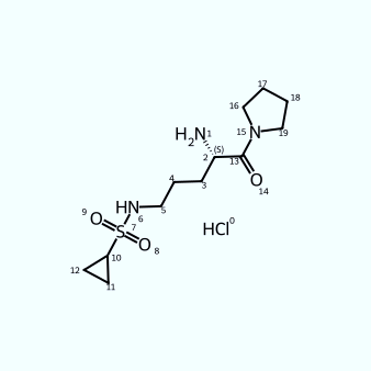 Cl.N[C@@H](CCCNS(=O)(=O)C1CC1)C(=O)N1CCCC1